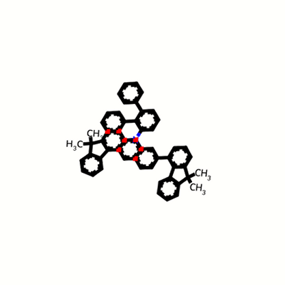 CC1(C)c2ccccc2-c2cc(N(c3cccc(-c4cccc5c4-c4ccccc4C5(C)C)c3)c3cccc(-c4ccccc4)c3-c3ccccc3-c3ccccc3)ccc21